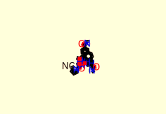 C=C(CC1(c2nnn[nH]2)c2ccc(C(=O)N(C)C)cc2CCc2cc(C(=O)N(C)C)ccc21)NCC(=O)N1CCCC1C#N